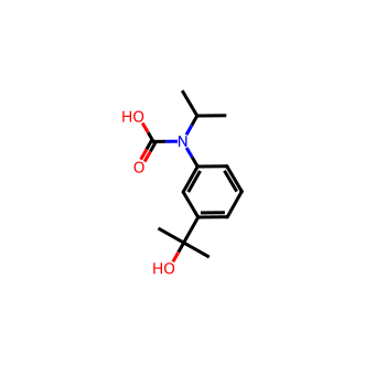 CC(C)N(C(=O)O)c1cccc(C(C)(C)O)c1